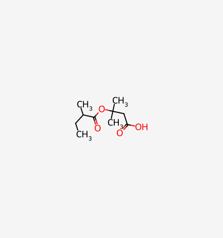 CCC(C)C(=O)OC(C)(C)CC(=O)O